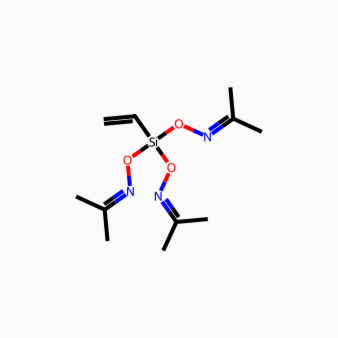 C=C[Si](ON=C(C)C)(ON=C(C)C)ON=C(C)C